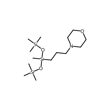 C[Si](C)(C)O[Si](C)(CCCN1CCOCC1)O[Si](C)(C)C